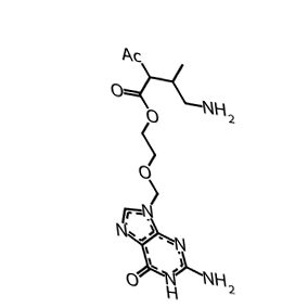 CC(=O)C(C(=O)OCCOCn1cnc2c(=O)[nH]c(N)nc21)C(C)CN